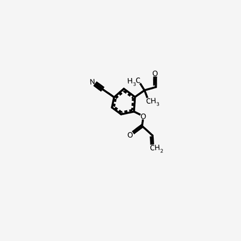 C=CC(=O)Oc1ccc(C#N)cc1C(C)(C)C=O